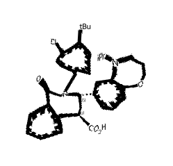 CC(C)N1CCOc2ccc([C@@H]3[C@@H](C(=O)O)c4ccccc4C(=O)N3c3ccc(C(C)(C)C)c(Cl)c3)cc21